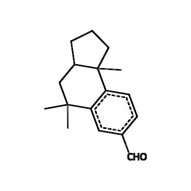 CC1(C)CC2CCCC2(C)c2ccc(C=O)cc21